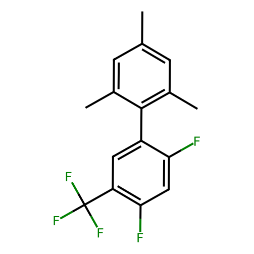 Cc1cc(C)c(-c2cc(C(F)(F)F)c(F)cc2F)c(C)c1